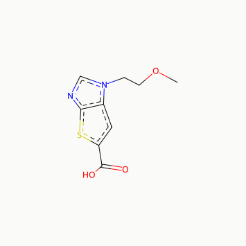 COCCn1cnc2sc(C(=O)O)cc21